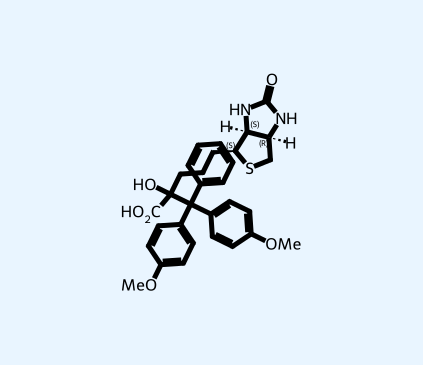 COc1ccc(C(c2ccccc2)(c2ccc(OC)cc2)C(O)(CCC[C@@H]2SC[C@@H]3NC(=O)N[C@@H]32)C(=O)O)cc1